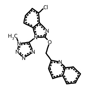 Cn1nnnc1-n1c(OCc2ccc3ccccc3n2)nc2c(Cl)cccc21